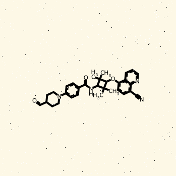 CC1(C)C(NC(=O)c2ccc(N3CCC(C=O)CC3)cc2)C(C)(C)C1Oc1ccc(C#N)c2ncccc12